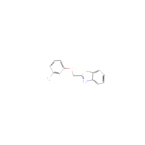 O=[N+]([O-])c1cccc(OCc2nc3ccccc3s2)c1